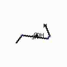 CCCCCCCC/C=C\CCCCCCCCSCCN(CCCCCCCC/C=C\C/C=C\CCCCCCCCN(C)C)C(=O)O